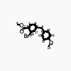 COC(=O)c1ccc(Cc2ccc(OC)cc2)cc1Br